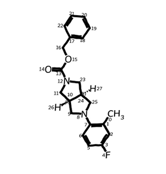 Cc1cc(F)ccc1N1C[C@@H]2CN(C(=O)OCc3ccccc3)C[C@H]2C1